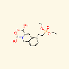 CCOP(=O)(CCc1cccc2c1CC(C(=O)O)N(C(=O)O)C2)OCC